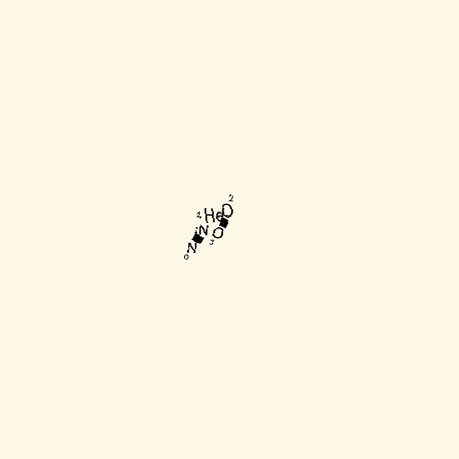 N#N.O=O.[He]